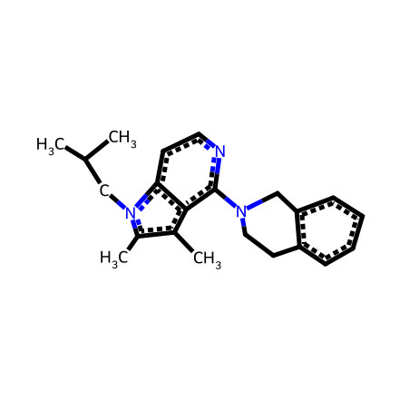 Cc1c(C)n(CC(C)C)c2ccnc(N3CCc4ccccc4C3)c12